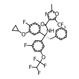 Cc1nc(C(=O)N[C@@](Cc2ccccc2)(c2cc(F)cc(OC(F)(F)C(F)F)c2)c2ccc(F)c(OC3CC3)c2)c(C(F)(F)F)o1